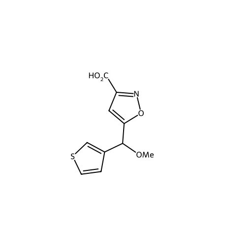 COC(c1ccsc1)c1cc(C(=O)O)no1